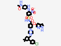 CC(=O)N[C@H]1CC[C@H](Nc2ccc(S(=O)(=O)NC(=O)c3ccc(N4CCN(CC5=C(c6ccc(Cl)cc6)CC(C)(C)CC5)CC4)cc3Oc3cnc4[nH]ccc4c3)cc2[N+](=O)[O-])CC1